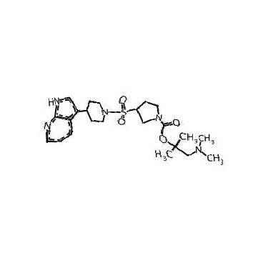 CN(C)CC(C)(C)OC(=O)N1CCC(S(=O)(=O)N2CCC(c3c[nH]c4ncccc34)CC2)C1